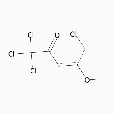 COC(=CC(=O)C(Cl)(Cl)Cl)CCl